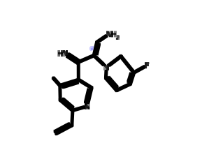 C=Cc1cc(C)c(C(=N)/C(=C/N)N2C=CC=C(F)C2)cn1